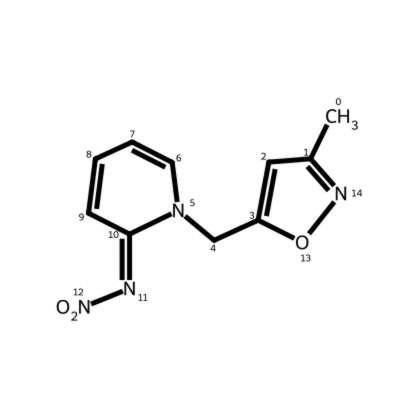 Cc1cc(Cn2ccccc2=N[N+](=O)[O-])on1